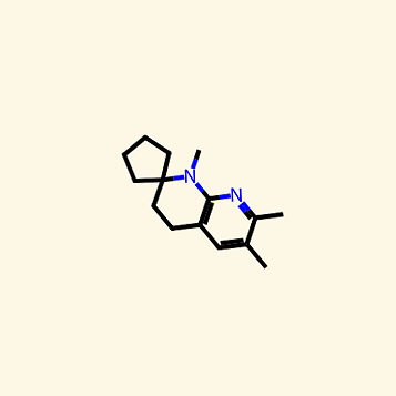 Cc1cc2c(nc1C)N(C)C1(CCCC1)CC2